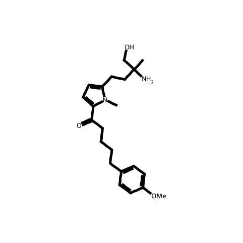 COc1ccc(CCCCC(=O)c2ccc(CCC(C)(N)CO)n2C)cc1